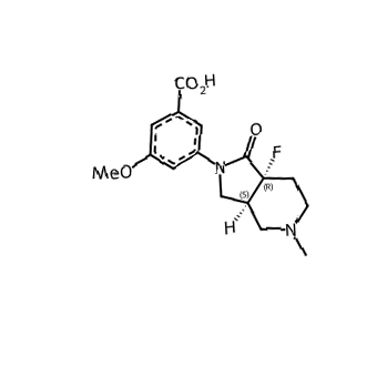 COc1cc(C(=O)O)cc(N2C[C@@H]3CN(C)CC[C@]3(F)C2=O)c1